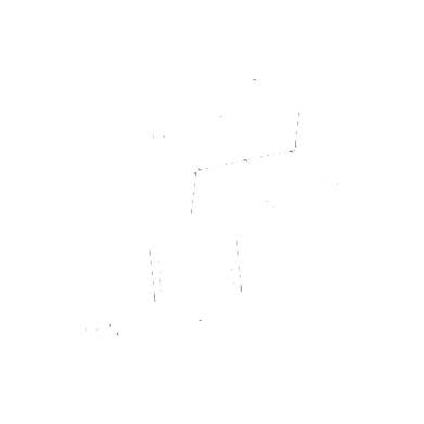 O=C1OCCC12Sc1ccc([N+](=O)[O-])cc1C2=O